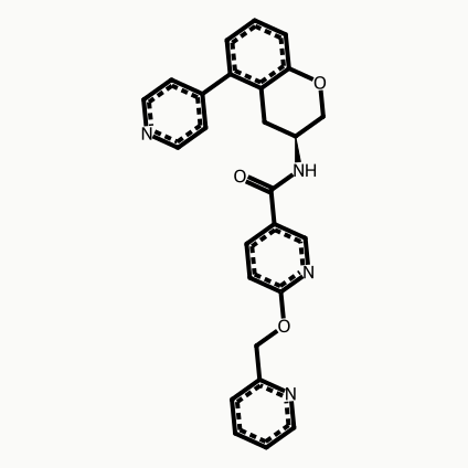 O=C(N[C@@H]1COc2cccc(-c3ccncc3)c2C1)c1ccc(OCc2ccccn2)nc1